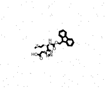 CSCC[C@H](NC(=O)OCC1c2ccccc2-c2ccccc21)c1nnnn1CC(=O)O